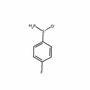 [O-][S+](P)c1ccc(F)cc1